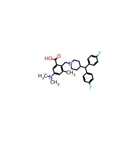 Cc1cc(N(C)C)cc(C(=O)O)c1CN1CCC(C(c2ccc(F)cc2)c2ccc(F)cc2)CC1